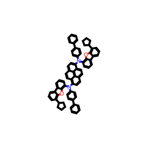 c1ccc(-c2ccc(N(c3ccc4ccc5c(N(c6ccc(-c7ccccc7)cc6)c6cccc7c6oc6c(C8CCCC8)cccc67)ccc6ccc3c4c65)c3cccc4c3oc3c(C5CCCC5)cccc34)cc2)cc1